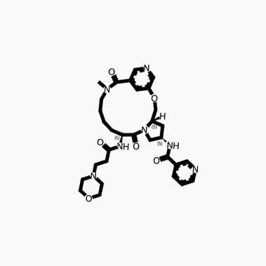 CN1CCCC[C@H](NC(=O)CCN2CCOCC2)C(=O)N2C[C@@H](NC(=O)c3cccnc3)C[C@H]2COc2cncc(c2)C1=O